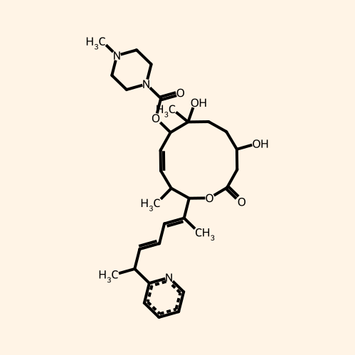 CC(=CC=CC(C)c1ccccn1)C1OC(=O)CC(O)CCC(C)(O)C(OC(=O)N2CCN(C)CC2)C=CC1C